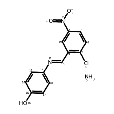 N.O=[N+]([O-])c1ccc(Cl)c(C=Nc2ccc(O)cc2)c1